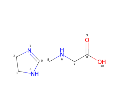 C1=NCCN1.CNCC(=O)O